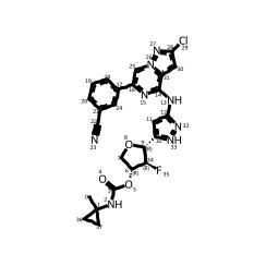 CC1(NC(=O)O[C@@H]2CO[C@H](c3cc(Nc4nc(-c5cccc(C#N)c5)cn5nc(Cl)cc45)n[nH]3)[C@H]2F)CC1